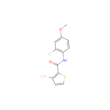 Bc1ccsc1C(=O)Nc1ccc(OC)cc1F